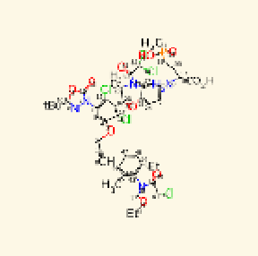 C#CCOc1cc(-n2nc(C(C)(C)C)oc2=O)c(Cl)cc1Cl.CC1COc2ccccc2N1C(=O)C(Cl)Cl.CCOCN(C(=O)CCl)c1c(C)cccc1CC.CP(=O)(O)CCC(N)C(=O)O